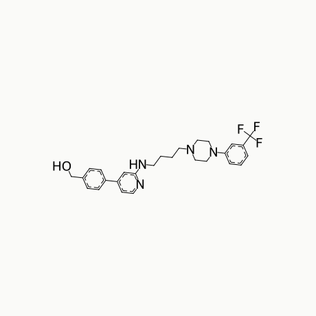 OCc1ccc(-c2ccnc(NCCCCN3CCN(c4cccc(C(F)(F)F)c4)CC3)c2)cc1